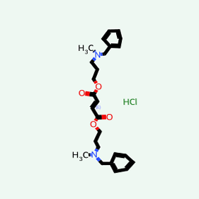 CN(CCCOC(=O)/C=C/C(=O)OCCCN(C)Cc1ccccc1)Cc1ccccc1.Cl